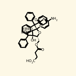 COC1(OC)[C@@](n2ccc(N)nc2=O)(C(c2ccccc2)(c2ccccc2)c2ccccc2)O[C@H](COC(=O)CCC(=O)O)[C@]1(O)C(=O)c1ccccc1